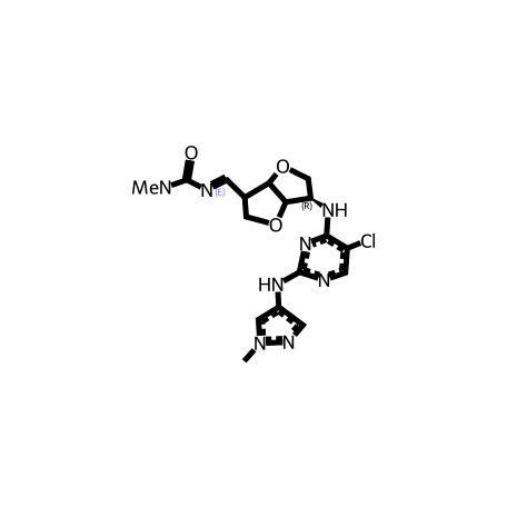 CNC(=O)/N=C/C1COC2C1OC[C@H]2Nc1nc(Nc2cnn(C)c2)ncc1Cl